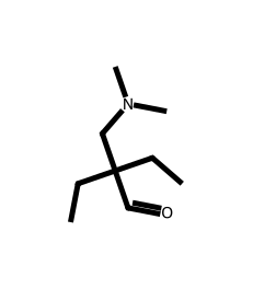 CCC(C=O)(CC)CN(C)C